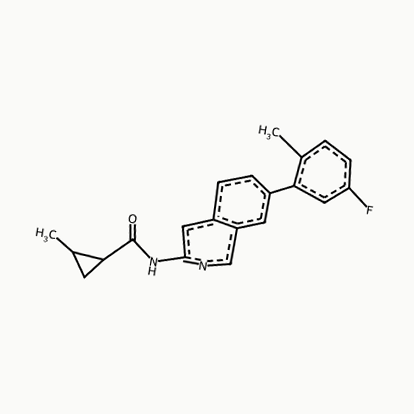 Cc1ccc(F)cc1-c1ccc2cc(NC(=O)C3CC3C)ncc2c1